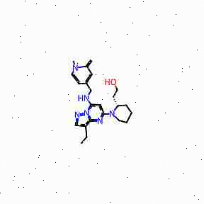 C=C1C=C(CNc2cc(N3CCCC[C@H]3CCO)nc3c(CC)cnn23)C=CN1C